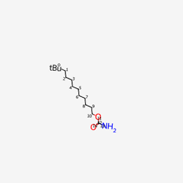 CC(C)(C)CCCCCCCCCCOC(N)=O